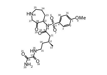 COc1ccc(S(=O)(=O)N(C(=O)C[C@@H](C)CCNC(=O)C(N)=O)C2CCCNCC2=O)cc1